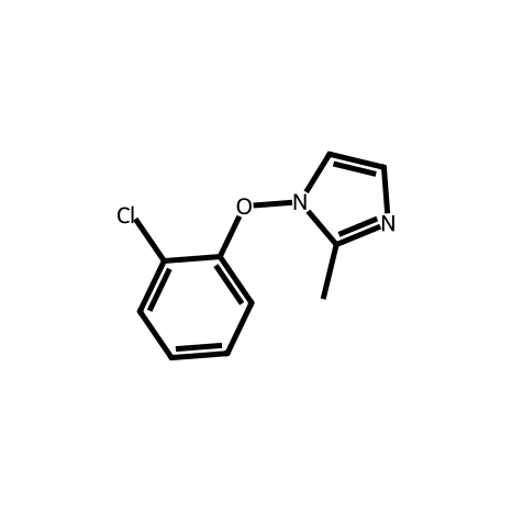 Cc1nccn1Oc1ccccc1Cl